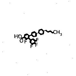 CCCCC[C@H]1CC[C@H](c2ccc(-c3ccc(C(=O)O)c(F)c3-c3cc(F)c(F)c(F)c3)cc2)CC1